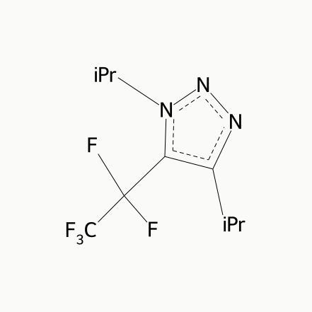 CC(C)c1nnn(C(C)C)c1C(F)(F)C(F)(F)F